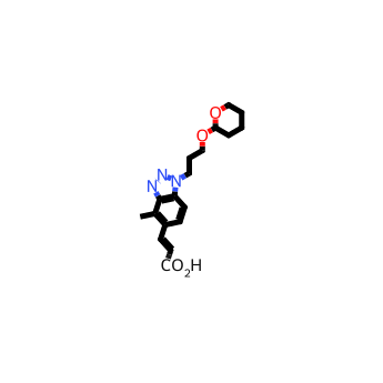 Cc1c(C=CC(=O)O)ccc2c1nnn2CCCOC1CCCCO1